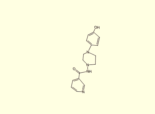 O=C(NN1CCN(c2ccc(O)cc2)CC1)c1cccnc1